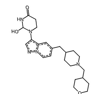 O=C1CCN(c2cnn3ccc(CC4CCN(CC5CCOCC5)CC4)cc23)C(O)N1